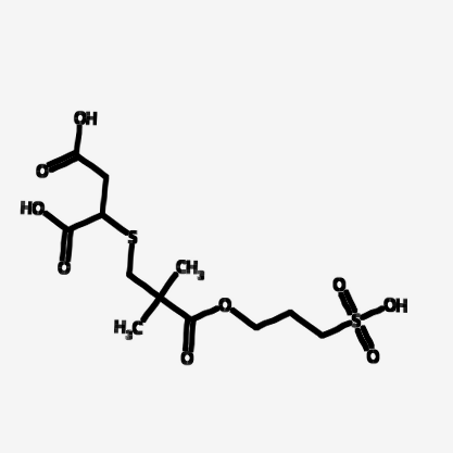 CC(C)(CSC(CC(=O)O)C(=O)O)C(=O)OCCCS(=O)(=O)O